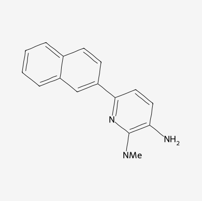 CNc1nc(-c2ccc3ccccc3c2)ccc1N